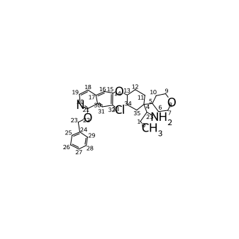 CCC(N)C1(C2CCOCC2)CCC(Oc2cc3ccnc(OCc4ccccc4)c3cc2Cl)CC1